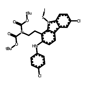 CC(C)(C)OC(=O)N(CCc1c(Nc2ccc(Cl)cc2)ccc2c3cc(Cl)ccc3n(SI)c12)C(=O)OC(C)(C)C